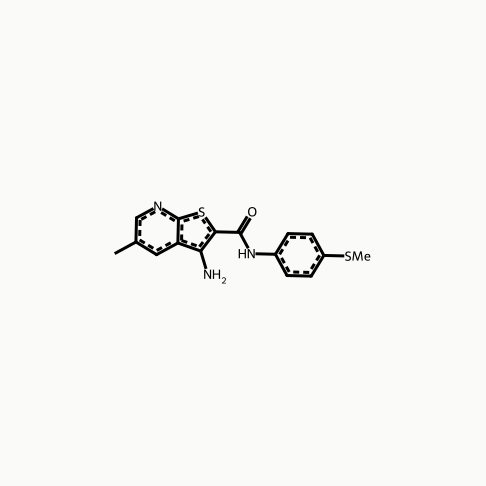 CSc1ccc(NC(=O)c2sc3ncc(C)cc3c2N)cc1